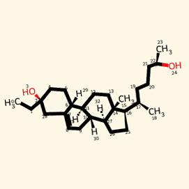 CC[C@]1(O)CC[C@H]2C(=CC[C@@H]3[C@@H]2CC[C@]2(C)[C@@H]([C@H](C)CCC[C@@H](C)O)CC[C@@H]32)C1